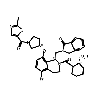 Cc1ncc(C(=O)N2CC[C@H](Oc3ccc(Br)c4c3[C@@H](CN3Cc5ccccc5C3=O)N(C(=O)C3CCCC[C@H]3C(=O)O)CC4)C2)s1